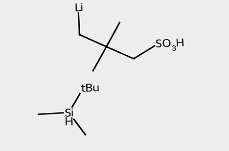 C[SiH](C)C(C)(C)C.[Li][CH2]C(C)(C)CS(=O)(=O)O